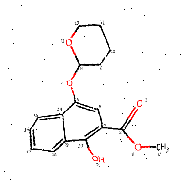 COC(=O)c1cc(OC2CCCCO2)c2ccccc2c1O